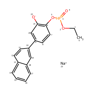 CCO[PH](=O)Oc1ccc(-c2ccc3ccccc3c2)cc1[O-].[Na+]